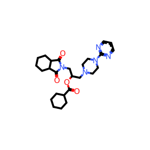 O=C(OC(CN1CCN(c2ncccn2)CC1)CN1C(=O)C2CCCCC2C1=O)C1CCCCC1